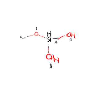 CO[SiH](O)O